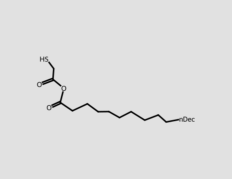 CCCCCCCCCCCCCCCCCCCC(=O)OC(=O)CS